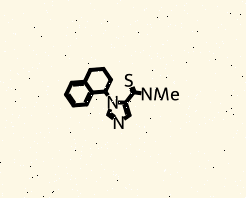 CNC(=S)c1cncn1C1CCCc2ccccc21